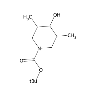 CC1CN(C(=O)OC(C)(C)C)CC(C)C1O